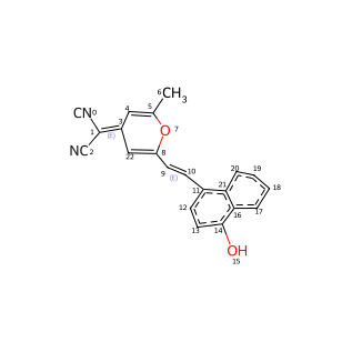 [C-]#[N+]/C(C#N)=C1\C=C(C)OC(/C=C/c2ccc(O)c3ccccc23)=C1